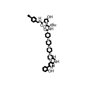 C#Cc1ccc(CNC(=O)[C@@H]2C[C@@H](O)CN2C(=O)[C@@H](NC(=O)[C@H]2CC[C@@H](N3CCC(N4CCC(N5CCN6c7cc(-c8ccccc8O)nnc7NC[C@H]6C5)CC4)CC3)CC2)C(C)(C)C)cc1